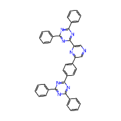 c1ccc(-c2nc(-c3ccccc3)nc(-c3ccc(-c4cncc(-c5nc(-c6ccccc6)nc(-c6ccccc6)n5)n4)cc3)n2)cc1